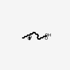 CCCCCC(/C=C/C=C\C/C=C\C/C=C\CCCC(=O)O)OOC